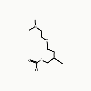 CC(CCOCCN(C)C)COC(=O)Cl